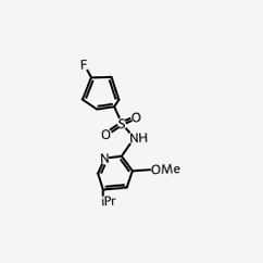 COc1cc(C(C)C)cnc1NS(=O)(=O)c1ccc(F)cc1